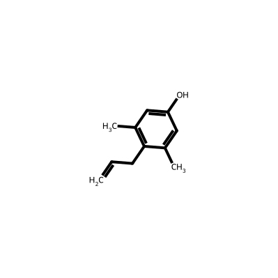 C=CCc1c(C)cc(O)cc1C